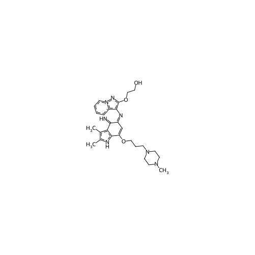 Cc1[nH]c2c(c1C)C(=N)/C(=N\c1c(OCCO)nn3ccccc13)C=C2OCCCN1CCN(C)CC1